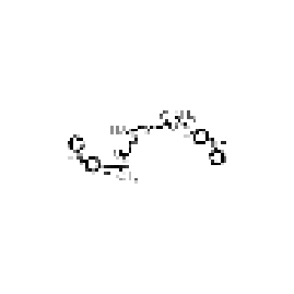 CC(COc1ccc(Nc2ccccc2)cc1)OC(=O)CCSCC(C)SCCC(=O)OC(C)COc1ccc(Nc2ccccc2)cc1